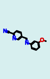 COc1cccc(/N=C/c2ccc(C#N)nc2)c1